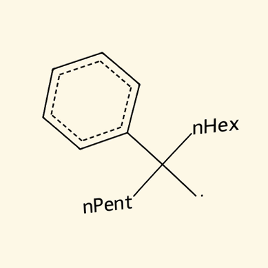 [CH2]C(CCCCC)(CCCCCC)c1ccccc1